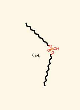 CCCCCCCCCCCCOP(=O)(O)OCCCCCCCCCCCC.[CaH2]